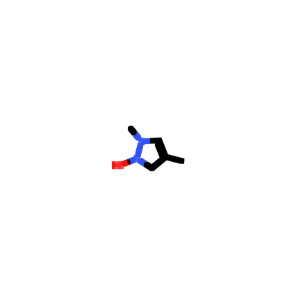 CC1=CN(C)N(O)C1